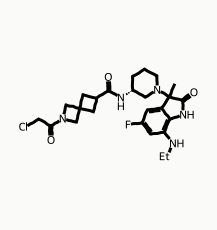 CCNc1cc(F)cc2c1NC(=O)C2(C)N1CCC[C@@H](NC(=O)C2CC3(C2)CN(C(=O)CCl)C3)C1